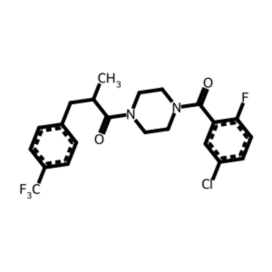 CC(Cc1ccc(C(F)(F)F)cc1)C(=O)N1CCN(C(=O)c2cc(Cl)ccc2F)CC1